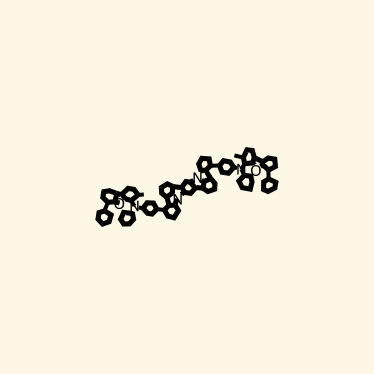 Cc1ccc2c(oc3c(-c4ccccc4)cccc32)c1N(c1ccccc1)c1ccc(-c2cccc3c2c2cccc4c5cc6c(cc5n3c42)c2cccc3c4c(-c5ccc(N(c7ccccc7)c7c(C)ccc8c7oc7c(-c9ccccc9)cccc78)cc5)cccc4n6c23)cc1